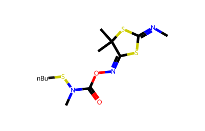 CCCCSN(C)C(=O)ON=C1SC(=NC)SC1(C)C